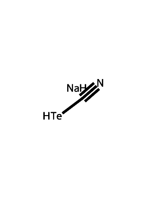 N#C[TeH].[NaH]